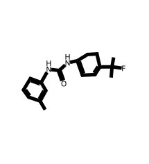 Cc1cccc(NC(=O)NC2=CC=C(C(C)(C)F)CC2)c1